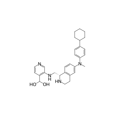 CN(c1ccc(C2CCCCC2)cc1)c1ccc2c(c1)CCN[C@@H]2CNc1cnccc1C(O)O